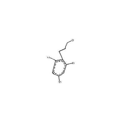 CCc1cc(CC)c(CCC[O])c(CC)c1